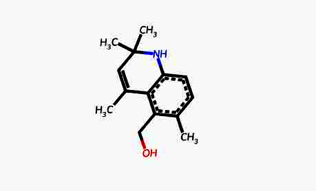 CC1=CC(C)(C)Nc2ccc(C)c(CO)c21